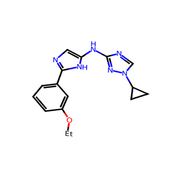 CCOc1cccc(-c2ncc(Nc3ncn(C4CC4)n3)[nH]2)c1